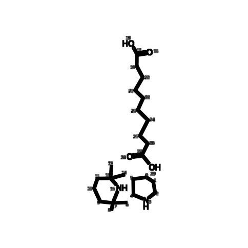 C1CCNCC1.CC1(C)CCCC(C)(C)N1.O=C(O)CCCCCCCCC(=O)O